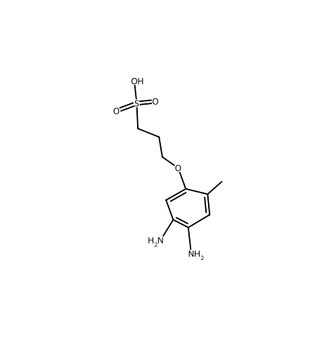 Cc1cc(N)c(N)cc1OCCCS(=O)(=O)O